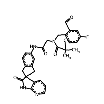 CC(C)(C)C(=O)N(CC(=O)Nc1ccc2c(c1)CC1(C2)C(=O)Nc2ncccc21)Cc1ccc(F)cc1C=O